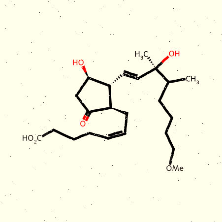 COCCCCC(C)[C@](C)(O)/C=C/[C@H]1[C@H](O)CC(=O)[C@@H]1C/C=C\CCCC(=O)O